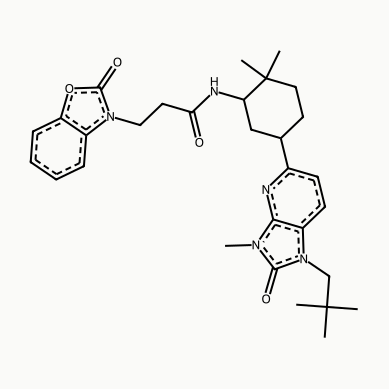 Cn1c(=O)n(CC(C)(C)C)c2ccc(C3CCC(C)(C)C(NC(=O)CCn4c(=O)oc5ccccc54)C3)nc21